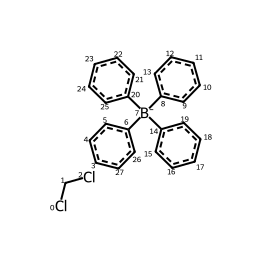 ClCCl.c1ccc([B-](c2ccccc2)(c2ccccc2)c2ccccc2)cc1